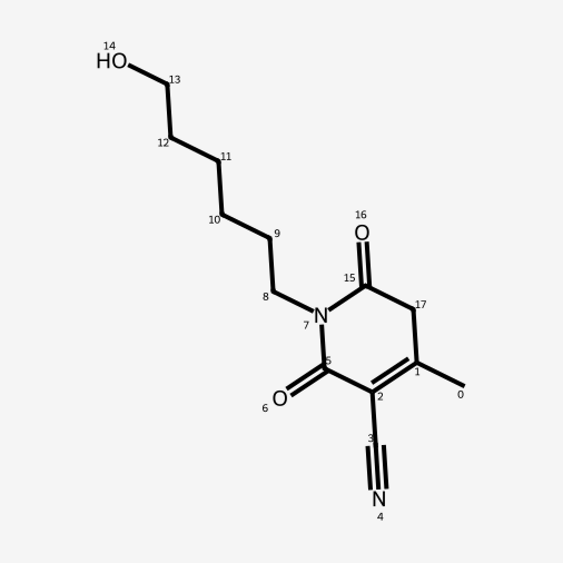 CC1=C(C#N)C(=O)N(CCCCCCO)C(=O)C1